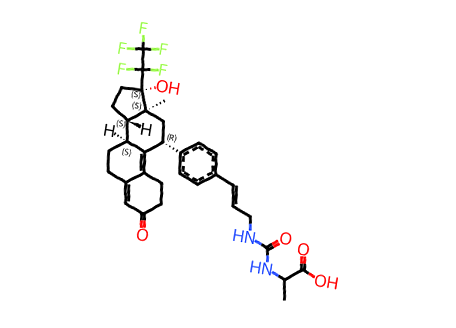 CC(NC(=O)NCC=Cc1ccc([C@H]2C[C@@]3(C)[C@@H](CC[C@@]3(O)C(F)(F)C(F)(F)F)[C@@H]3CCC4=CC(=O)CCC4=C32)cc1)C(=O)O